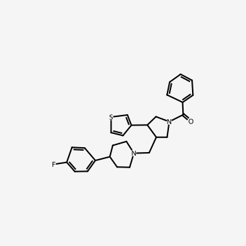 O=C(c1ccccc1)N1CC(CN2CCC(c3ccc(F)cc3)CC2)C(c2ccsc2)C1